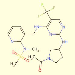 CC(=O)N1CCC(Nc2ncc(C(F)(F)F)c(NCc3cccnc3N(C)S(C)(=O)=O)n2)C1